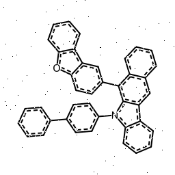 c1ccc(-c2ccc(-n3c4ccccc4c4cc5ccccc5c(-c5ccc6oc7ccccc7c6c5)c43)cc2)cc1